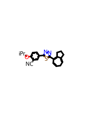 CC(C)Oc1ccc(-c2nnc(C3=C4CCCC4=CCC=C3)s2)cc1C#N